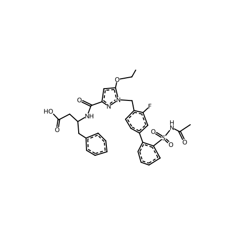 CCOc1cc(C(=O)NC(CC(=O)O)Cc2ccccc2)nn1Cc1ccc(-c2ccccc2S(=O)(=O)NC(C)=O)cc1F